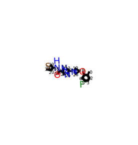 Cc1ccc(F)cc1OC1CN(c2cnc(C(=O)Nc3ccsc3)cn2)C1